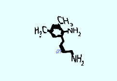 Cc1cc(C)c(N)c(C/C=C\CN)c1